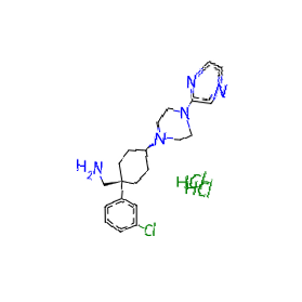 Cl.Cl.NC[C@]1(c2cccc(Cl)c2)CC[C@H](N2CCN(c3cnccn3)CC2)CC1